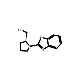 OC[C@@H]1CCCN1c1nc2ccccc2o1